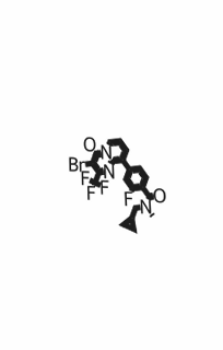 CN(CC1CC1)C(=O)c1ccc(-c2cccn3c(=O)c(Br)c(C(F)(F)F)nc23)cc1F